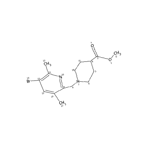 COC(=O)C1CCN(Cc2nc(C)c(Br)cc2C)CC1